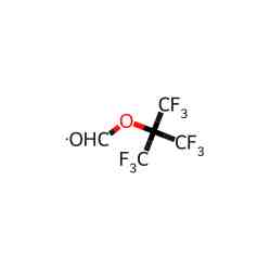 O=[C]OC(C(F)(F)F)(C(F)(F)F)C(F)(F)F